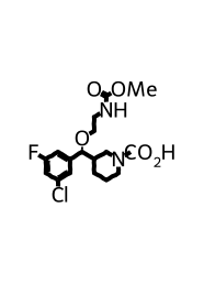 COC(=O)NCCO[C@@H](c1cc(F)cc(Cl)c1)C1CCCN(C(=O)O)C1